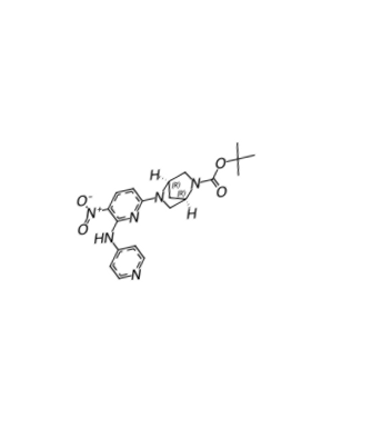 CC(C)(C)OC(=O)N1C[C@H]2C[C@@H]1CN2c1ccc([N+](=O)[O-])c(Nc2ccncc2)n1